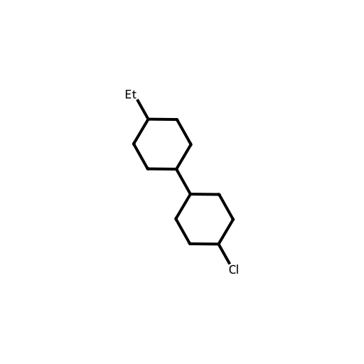 CCC1CCC(C2CCC(Cl)CC2)CC1